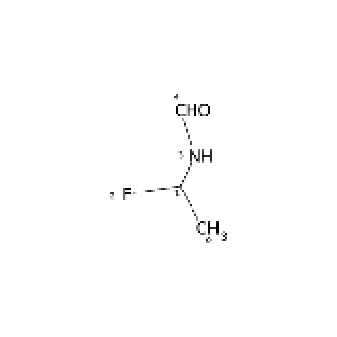 CC(F)NC=O